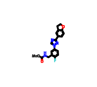 COC(=O)NCc1cc(-n2cnc(-c3ccc4c(c3)CCO4)n2)ccc1F